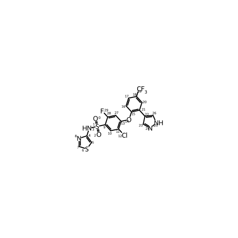 O=S(=O)(Nc1cscn1)c1cc(Cl)c(Oc2ccc(C(F)(F)F)cc2-c2cn[nH]c2)cc1F